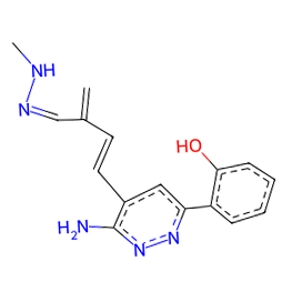 C=C(/C=N\NC)/C=C/c1cc(-c2ccccc2O)nnc1N